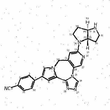 N#Cc1ccc(-c2cc3n(c2)Cc2cc(N4CC[C@H]5NCC[C@@H]54)ncc2-n2cnnc2-3)cc1